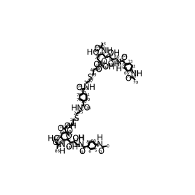 CC(=O)Nc1ccc(C(=O)NC[C@@H](O)[C@@H](O)[C@@H]2O[C@@](OCCCSCCNC(=O)c3ccc(C(=O)NCCSCCCO[C@]4(C(=O)O)C[C@H](O)[C@@H](NC(C)=O)[C@H]([C@H](O)[C@@H](O)CNC(=O)c5ccc(NC(C)=O)cc5)O4)cc3)(C(=O)O)C[C@H](O)[C@H]2NC(C)=O)cc1